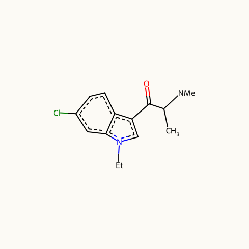 CCn1cc(C(=O)C(C)NC)c2ccc(Cl)cc21